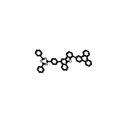 c1ccc(-c2nc(-c3ccccc3)nc(-c3ccc(-c4cc5c6cccc(-c7ccc8c9ccccc9c9ccccc9c8c7)c6oc5c5ccccc45)cc3)n2)cc1